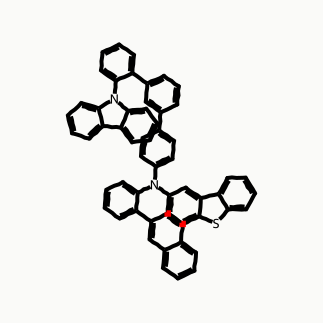 c1cc(-c2ccc(N(c3ccc4sc5ccccc5c4c3)c3ccccc3-c3ccc4ccccc4c3)cc2)cc(-c2ccccc2-n2c3ccccc3c3ccccc32)c1